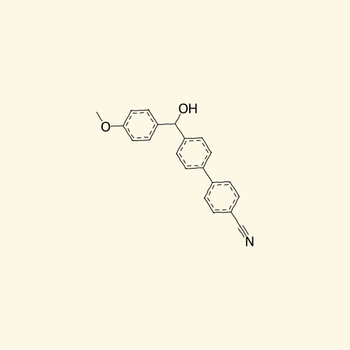 COc1ccc(C(O)c2ccc(-c3ccc(C#N)cc3)cc2)cc1